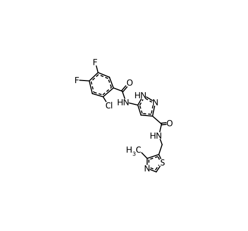 Cc1ncsc1CNC(=O)c1cc(NC(=O)c2cc(F)c(F)cc2Cl)[nH]n1